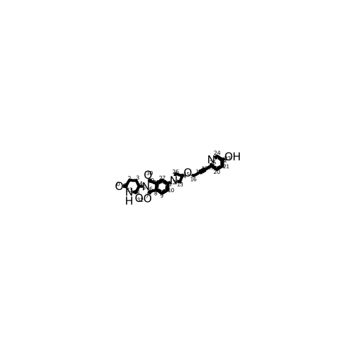 O=C1CCC(N2C(=O)c3ccc(N4CC(OCC#Cc5ccc(O)cn5)C4)cc3C2=O)C(=O)N1